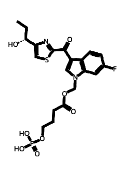 CC[C@@H](O)c1csc(C(=O)c2cn(COC(=O)CCCOP(=O)(O)O)c3cc(F)ccc23)n1